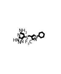 Nc1cc(SCc2cn(C3CCCCC3)nc2C(F)(F)F)c2nn[nH]c2n1